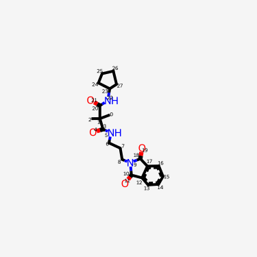 CC(C)(C(=O)NCCCN1C(=O)c2ccccc2C1=O)C(=O)NC1CCCC1